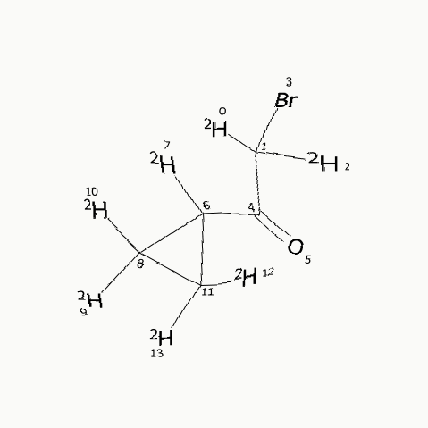 [2H]C([2H])(Br)C(=O)C1([2H])C([2H])([2H])C1([2H])[2H]